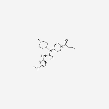 CCCC(=O)N1CCC(N(C(=O)Nc2ncc(SC)s2)[C@H]2CC[C@H](C)CC2)CC1